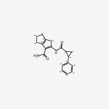 NC(=O)c1c(NC(=O)C2CC2c2ccccc2)sc2c1CCC2